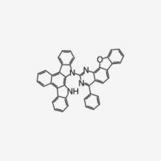 c1ccc(-c2nc(-n3c4ccccc4c4c5ccccc5c5c6ccccc6[nH]c5c43)nc3c2ccc2c4ccccc4oc23)cc1